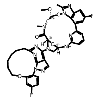 CO[C@H]1CN(C)C(=O)[C@@H]2C[C@@H](CN2c2nc3nc4c2cnn4-c2ccc(F)cc2OCCCCCC3)Nc2cccc(n2)-c2cc(F)cc3nc(C)n(c23)C1